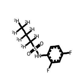 [2H]C([2H])([2H])C([2H])([2H])C([2H])([2H])S(=O)(=O)Nc1ccc(F)cc1F